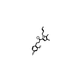 CC=CCn1c(C(=O)CCc2ccc(F)cc2F)cc(C)c1C